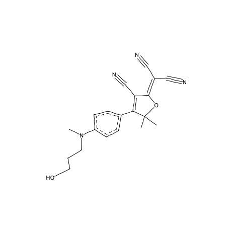 CN(CCCO)c1ccc(C2=C(C#N)C(=C(C#N)C#N)OC2(C)C)cc1